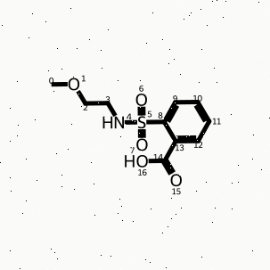 COCCNS(=O)(=O)c1ccccc1C(=O)O